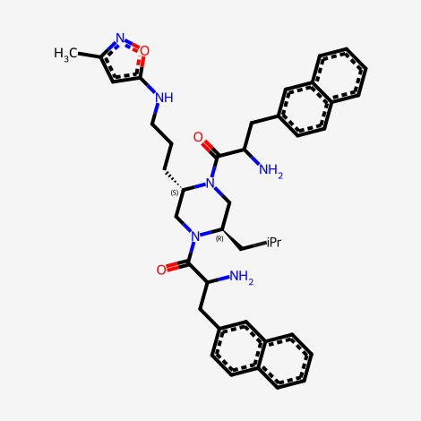 Cc1cc(NCCC[C@H]2CN(C(=O)C(N)Cc3ccc4ccccc4c3)[C@H](CC(C)C)CN2C(=O)C(N)Cc2ccc3ccccc3c2)on1